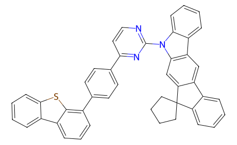 c1ccc2c(c1)-c1cc3c4ccccc4n(-c4nccc(-c5ccc(-c6cccc7c6sc6ccccc67)cc5)n4)c3cc1C21CCCC1